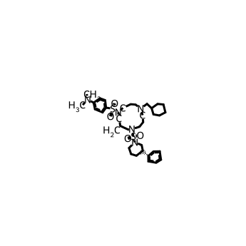 C=C1CN(S(=O)(=O)c2ccc(N(C)C)cc2)CCCN(CC2CCCCC2)CCCN(S(=O)(=O)N2CCC[C@@H](c3ccccc3)C2)C1